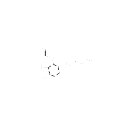 CC=COc1c(OCCCCC)ccc(Cl)c1Cl